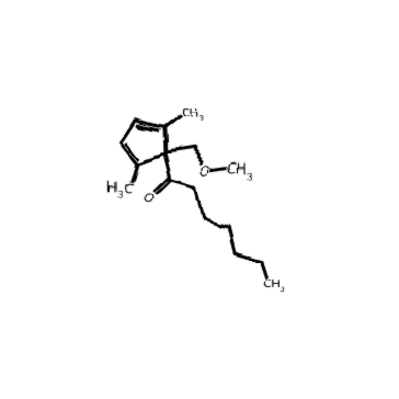 CCCCCCC(=O)C1(COC)C(C)=CC=C1C